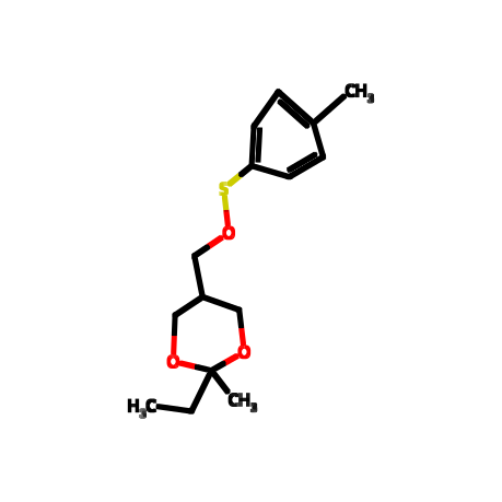 CCC1(C)OCC(COSc2ccc(C)cc2)CO1